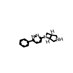 c1ccc(-c2ccc(N3C[C@H]4CNC[C@H]43)nn2)cc1